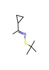 CC(=NSC(C)(C)C)C1CC1